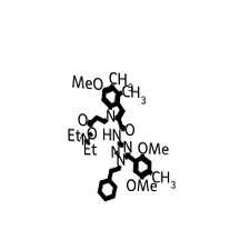 CCN(CC)OC(=O)CCn1c(C(=O)Nc2nc(-c3cc(OC)c(C)cc3OC)n(CCC3CCCCC3)n2)cc2c(C)c(C)c(OC)cc21